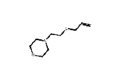 C=CCOCCN1CCOCC1